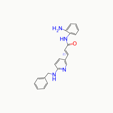 Nc1ccccc1NC(=O)/C=C/c1ccc(NCc2ccccc2)nc1